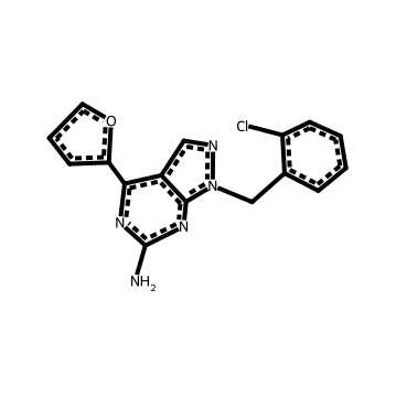 Nc1nc(-c2ccco2)c2cnn(Cc3ccccc3Cl)c2n1